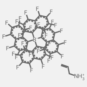 C=CC[NH3+].Fc1c(F)c(F)c2c([B-](c3c(F)c(F)c(F)c4c(F)c(F)c(F)c(F)c34)(c3c(F)c(F)c(F)c4c(F)c(F)c(F)c(F)c34)c3c(F)c(F)c(F)c4c(F)c(F)c(F)c(F)c34)c(F)c(F)c(F)c2c1F